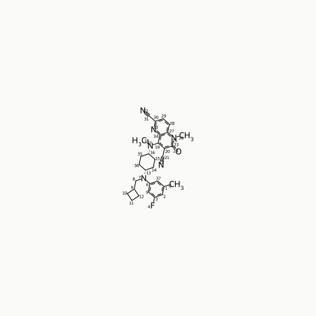 Cc1cc(F)cc(N(CC2CCC2)[C@H]2CC[C@@H](N(C)c3c(C#N)c(=O)n(C)c4ccc(C#N)nc34)CC2)c1